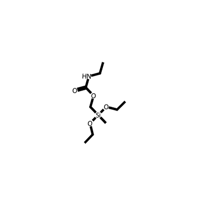 CCNC(=O)OC[Si](C)(OCC)OCC